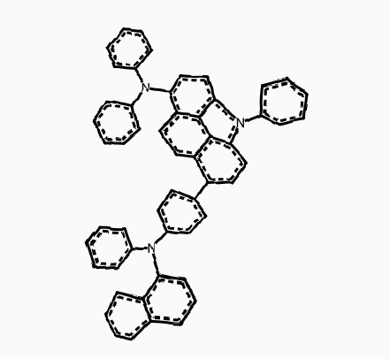 c1ccc(N(c2ccc(-c3ccc4c5c3ccc3c(N(c6ccccc6)c6ccccc6)ccc(c35)n4-c3ccccc3)cc2)c2cccc3ccccc23)cc1